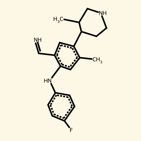 Cc1cc(Nc2ccc(F)cc2)c(C=N)cc1C1CCNCC1C